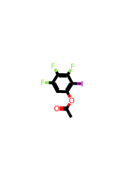 CC(=O)Oc1cc(F)c(F)c(F)c1I